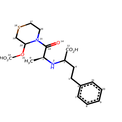 C[C@H](NC(CCc1ccccc1)C(=O)O)C(=O)N1CCSCC1OC(=O)O